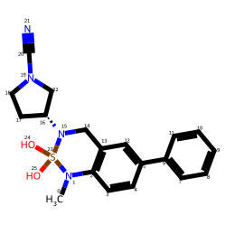 CN1c2ccc(-c3ccccc3)cc2CN([C@@H]2CCN(C#N)C2)S1(O)O